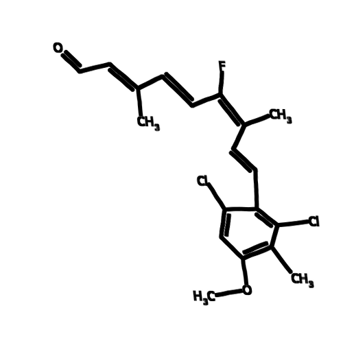 COc1cc(Cl)c(/C=C/C(C)=C(F)\C=C\C(C)=C\C=O)c(Cl)c1C